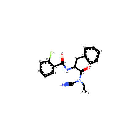 CCN(C#N)C(=O)C(Cc1ccccc1)NC(=O)c1ccccc1F